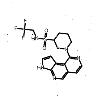 O=S(=O)(NCC(F)(F)F)C1CCCN(c2nccc3cnc4[nH]ccc4c23)C1